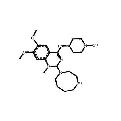 COc1cc2c(cc1OC)N(C)C(N1CCCCNCC1)N=C2NC1CCN(O)CC1